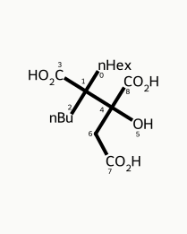 CCCCCCC(CCCC)(C(=O)O)C(O)(CC(=O)O)C(=O)O